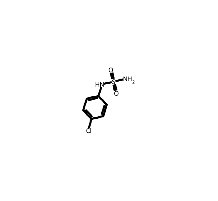 NS(=O)(=O)Nc1ccc(Cl)cc1